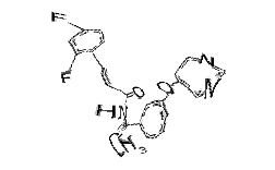 C[C@H](NC(=O)C=Cc1ccc(F)cc1F)c1cccc(Oc2cncnc2)c1